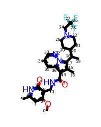 COc1cc(C)[nH]c(=O)c1CNC(=O)c1c(C)c(C(C)C2CCN(CC(F)(F)F)CC2)n2ncccc12